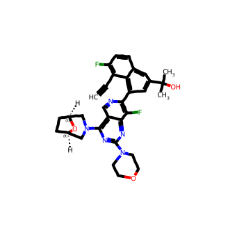 C#Cc1c(F)ccc2cc(C(C)(C)O)cc(-c3ncc4c(N5C[C@H]6CC[C@@H](C5)O6)nc(N5CCOCC5)nc4c3F)c12